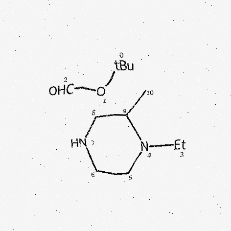 CC(C)(C)OC=O.CCN1CCNCC1C